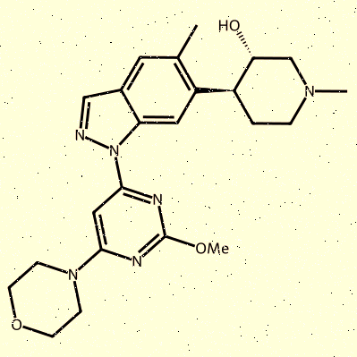 COc1nc(N2CCOCC2)cc(-n2ncc3cc(C)c([C@@H]4CCN(C)C[C@H]4O)cc32)n1